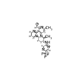 Cc1cc(N2CCC[C@@H](Nc3cnc(C(F)(F)F)cn3)[C@@H]2C)c(-c2ncccn2)c(C=O)n1